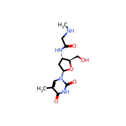 CNCC(=O)N[C@H]1C[C@H](n2cc(C)c(=O)[nH]c2=O)O[C@@H]1CO